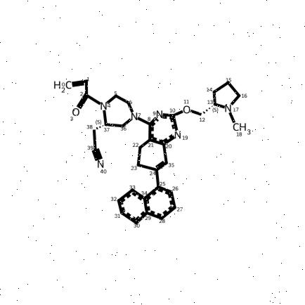 C=CC(=O)N1CCN(c2nc(OC[C@@H]3CCCN3C)nc3c2CCC(c2cccc4ccccc24)=C3)C[C@@H]1CC#N